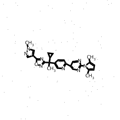 Cc1ccc(C)n1-c1ncc(-c2ccc(C(C)(c3noc(-c4cnn(C)c4)n3)C3CC3)cn2)cn1